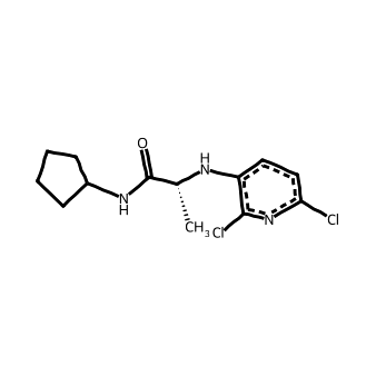 C[C@@H](Nc1ccc(Cl)nc1Cl)C(=O)NC1CCCC1